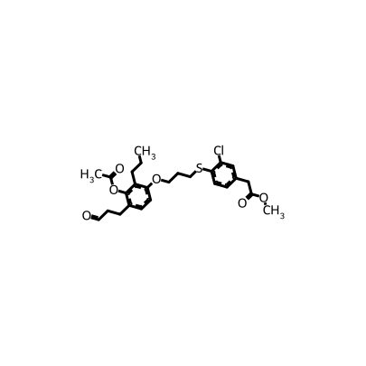 CCCc1c(OCCCSc2ccc(CC(=O)OC)cc2Cl)ccc(CCC=O)c1OC(C)=O